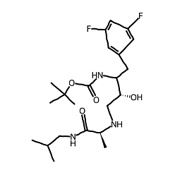 CC(C)CNC(=O)[C@H](C)NC[C@@H](O)C(Cc1cc(F)cc(F)c1)NC(=O)OC(C)(C)C